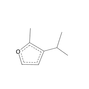 Cc1occc1C(C)C